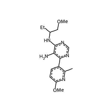 CCC(COC)Nc1ncnc(-c2ccc(OC)nc2C)c1N